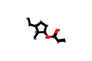 C=CC(=O)OC1CCC(CC)C1C